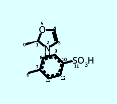 C[C@@H]1NC=CO1.Cc1ccc(S(=O)(=O)O)cc1